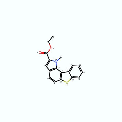 CCOC(=O)c1cc2ccc3sc4ccccc4c3c2n1C